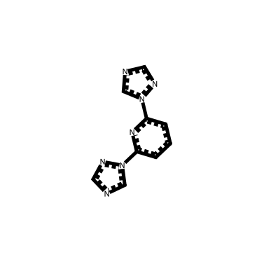 c1cc(-n2cncn2)nc(-n2cncn2)c1